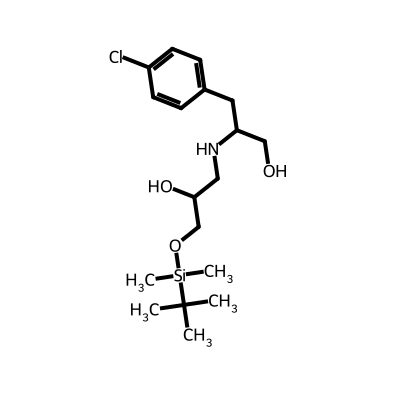 CC(C)(C)[Si](C)(C)OCC(O)CNC(CO)Cc1ccc(Cl)cc1